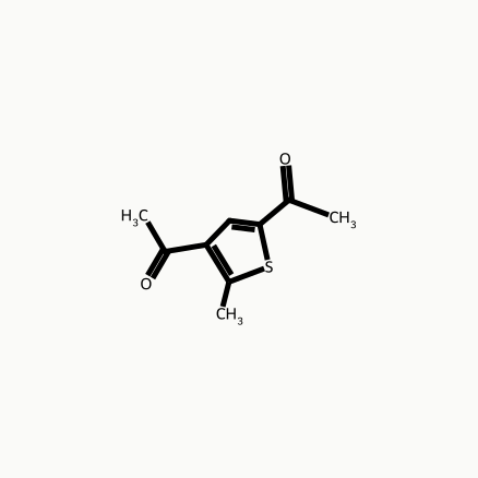 CC(=O)c1cc(C(C)=O)c(C)s1